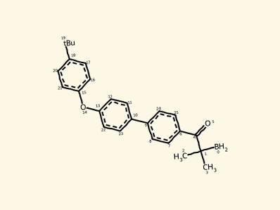 BC(C)(C)C(=O)c1ccc(-c2ccc(Oc3ccc(C(C)(C)C)cc3)cc2)cc1